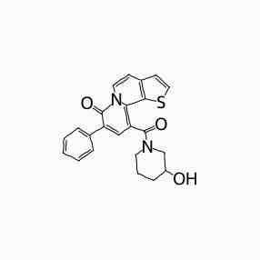 O=C(c1cc(-c2ccccc2)c(=O)n2ccc3ccsc3c12)N1CCCC(O)C1